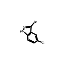 Clc1ccc2[nH]nc(Br)c2c1